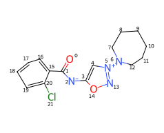 O=C([N-]c1c[n+](N2CCCCCC2)no1)c1ccccc1Cl